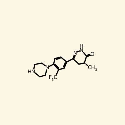 C[C@H]1CC(c2ccc(N3CCNCC3)c(C(F)(F)F)c2)=NNC1=O